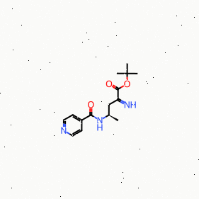 C[C@H](CC(=N)C(=O)OC(C)(C)C)NC(=O)c1ccncc1